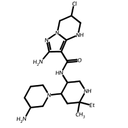 CCC1(C)CC(N2CCCC(N)C2)C(NC(=O)c2c(N)nn3c2NCC(Cl)C3)CN1